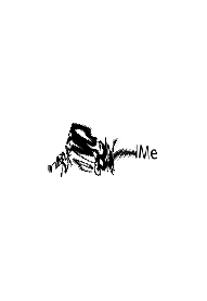 CCCCN1CCC(Cc2c(OC)c(OC)cc3nc(NC)nc(N)c23)(c2ccccc2)CC1